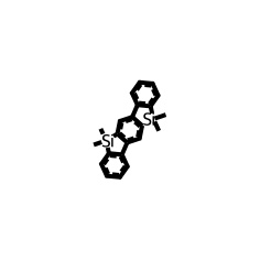 C[Si]1(C)c2ccccc2-c2cc3c(cc21)-c1ccccc1[Si]3(C)C